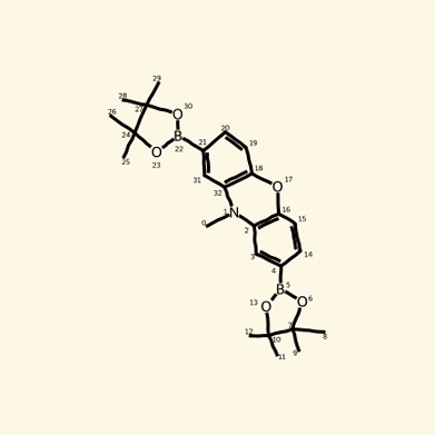 CN1c2cc(B3OC(C)(C)C(C)(C)O3)ccc2Oc2ccc(B3OC(C)(C)C(C)(C)O3)cc21